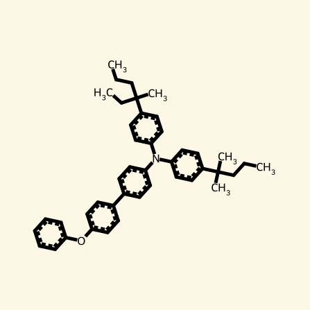 CCCC(C)(C)c1ccc(N(c2ccc(-c3ccc(Oc4ccccc4)cc3)cc2)c2ccc(C(C)(CC)CCC)cc2)cc1